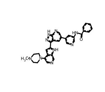 CN1CCN(c2cncc3[nH]c(-c4n[nH]c5ncc(-c6cncc(NC(=O)c7ccccc7)c6)cc45)cc23)CC1